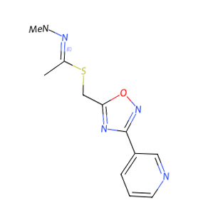 CN/N=C(\C)SCc1nc(-c2cccnc2)no1